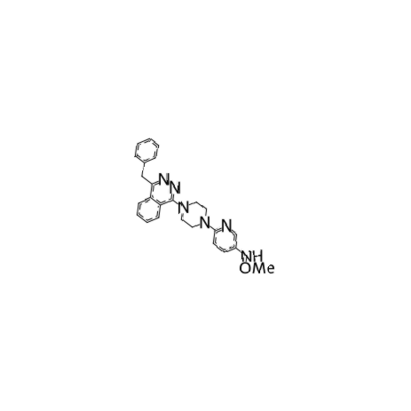 CONc1ccc(N2CCN(c3nnc(Cc4ccccc4)c4ccccc34)CC2)nc1